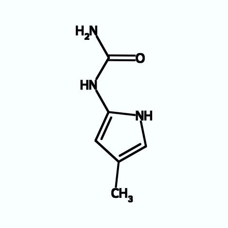 Cc1c[nH]c(NC(N)=O)c1